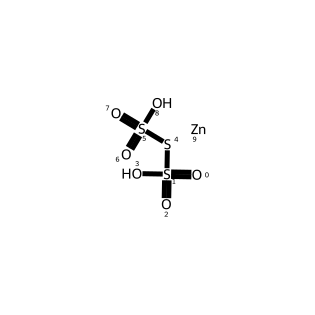 O=S(=O)(O)SS(=O)(=O)O.[Zn]